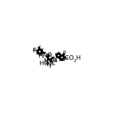 Cc1cc(CNC(=O)c2ncncc2CN(CC(=O)O)C2CCc3c2ccc(C(=O)O)c3C)ccc1F